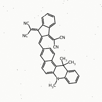 CN1c2ccccc2C(C)(C)c2c1ccc1cc(C=C3C(=C(C#N)C#N)c4ccccc4C3=C(C#N)C#N)ccc21